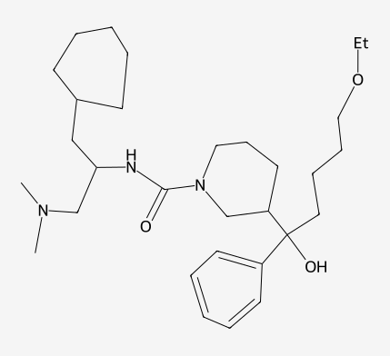 CCOCCCCC(O)(c1ccccc1)C1CCCN(C(=O)NC(CC2CCCCC2)CN(C)C)C1